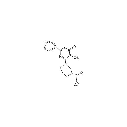 Cn1c(N2CCCC(C(=O)C3CC3)C2)nc(-c2ccncc2)cc1=O